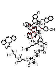 CC(=O)N[C@H](Cc1ccc2ccccc2c1)C(=O)N[C@H](Cc1ccc(Cl)cc1)C(=O)N[C@H](Cc1cccnc1)C(=O)N[C@@H](CO)C(=O)N(C)[C@@H](Cc1ccc(O)cc1)C(=O)N[C@H](CC(N)=O)C(=O)N[C@@H](CC(C)C)C(=O)N[C@@H](CCCCNC(C)C)C(=O)N1CCC[C@H]1C(=O)N[C@H](C)C(=O)NCC(=O)NCC(=O)N[C@@H](CSC1CC(=O)N(CCC(O)NCCC(=O)N2Cc3ccccc3C#Cc3ccccc32)C1=O)C(N)=O